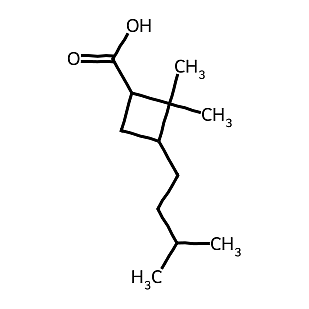 CC(C)CCC1CC(C(=O)O)C1(C)C